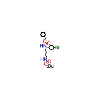 CC(C)(C)OC(=O)NCCCC[C@@H](NC(=O)OCc1ccccc1)c1ccc(Br)cc1